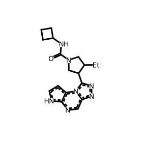 CCC1CN(C(=O)NC2CCC2)CC1c1nnc2cnc3[nH]ccc3n12